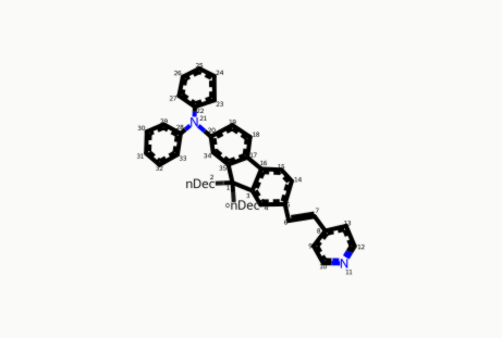 CCCCCCCCCCC1(CCCCCCCCCC)c2cc(/C=C/c3ccncc3)ccc2-c2ccc(N(c3ccccc3)c3ccccc3)cc21